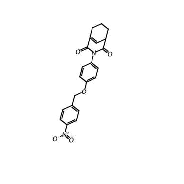 O=C1C2=CC(CCC2)C(=O)N1c1ccc(OCc2ccc([N+](=O)[O-])cc2)cc1